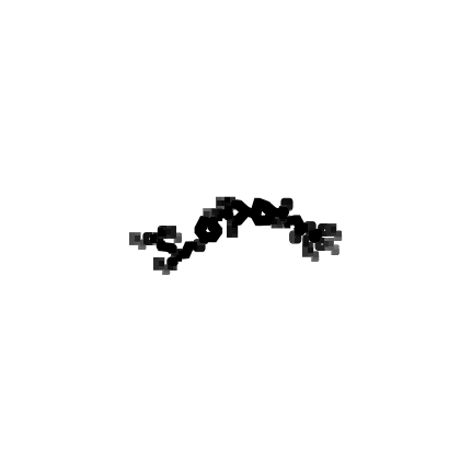 CN(C)CCN(C)CCOc1ccc(NC2NCC(c3ccc(C(=O)NCC(=O)OC(C)(C)C)cc3)CN2)cc1